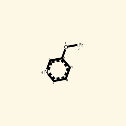 C[C](C)Oc1cccnc1